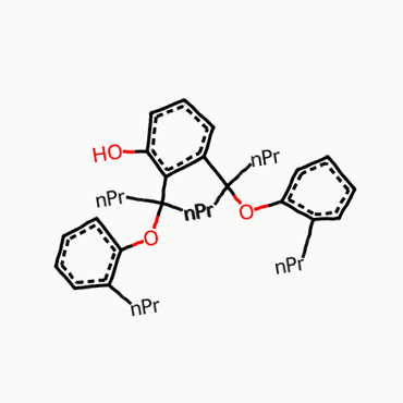 CCCc1ccccc1OC(CCC)(CCC)c1cccc(O)c1C(CCC)(CCC)Oc1ccccc1CCC